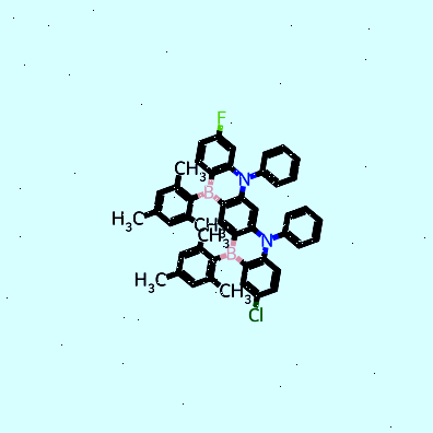 Cc1cc(C)c(B2c3cc(Cl)ccc3N(c3ccccc3)c3cc4c(cc32)B(c2c(C)cc(C)cc2C)c2ccc(F)cc2N4c2ccccc2)c(C)c1